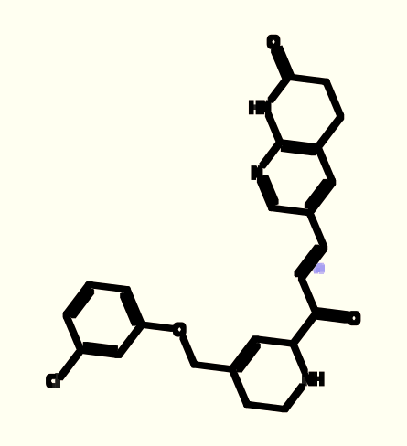 O=C1CCc2cc(/C=C/C(=O)C3C=C(COc4cccc(Cl)c4)CCN3)cnc2N1